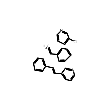 C(=Cc1cccnc1)c1ccccc1.C=Cc1ccccc1.Clc1cccnc1